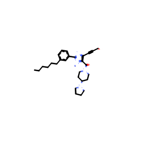 CCCCCCc1cccc(-c2nc(C#CCO)c(C(=O)N3CCC(N4CCCC4)CC3)n2C)c1